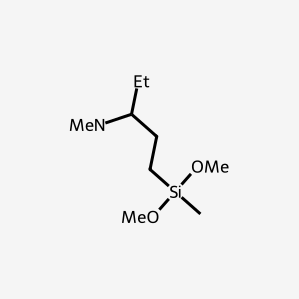 CCC(CC[Si](C)(OC)OC)NC